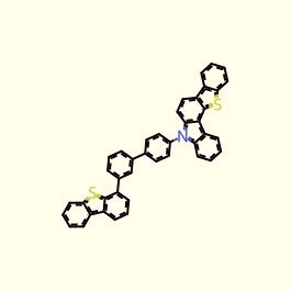 c1cc(-c2ccc(-n3c4ccccc4c4c5sc6ccccc6c5ccc43)cc2)cc(-c2cccc3c2sc2ccccc23)c1